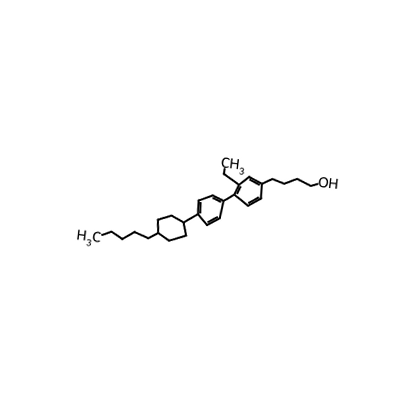 CCCCCC1CCC(c2ccc(-c3ccc(CCCCO)cc3CC)cc2)CC1